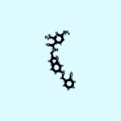 Nc1ccc(C(=O)NCc2cc3ccc(OCc4ccccc4Cl)cc3o2)c(N)n1